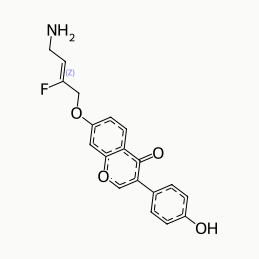 NC/C=C(\F)COc1ccc2c(=O)c(-c3ccc(O)cc3)coc2c1